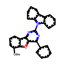 COc1cccc2c1oc1c(-c3ccccc3)nc(-n3c4ccccc4c4ccccc43)nc12